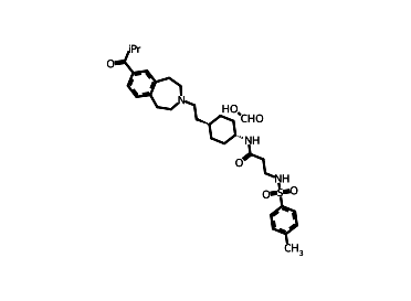 Cc1ccc(S(=O)(=O)NCCC(=O)N[C@H]2CC[C@H](CCN3CCc4ccc(C(=O)C(C)C)cc4CC3)CC2)cc1.O=CO